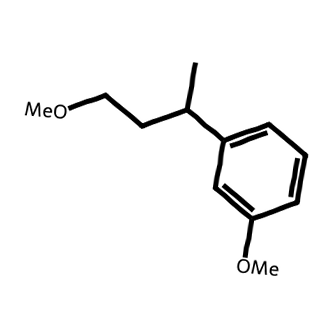 COCCC(C)c1cccc(OC)c1